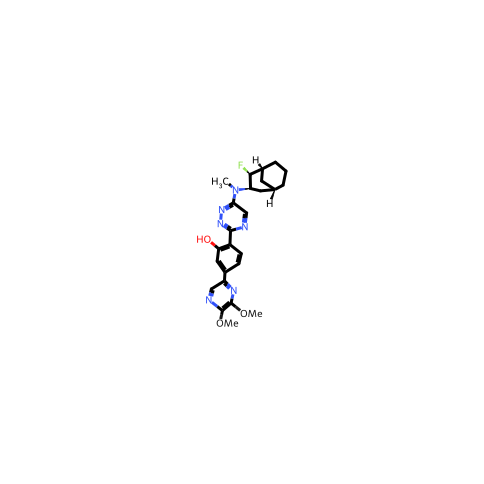 COc1ncc(-c2ccc(-c3ncc(N(C)[C@@H]4C[C@H]5CCC[C@H](C5)[C@@H]4F)nn3)c(O)c2)nc1OC